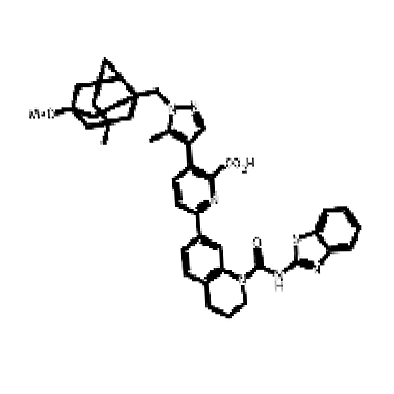 COC12CC3(C)CC4(CC4C(Cn4ncc(-c5ccc(-c6ccc7c(c6)N(C(=O)Nc6nc8ccccc8s6)CCC7)nc5C(=O)O)c4C)(C3)C1)C2